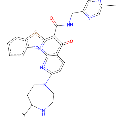 Cc1cnc(CNC(=O)c2c(=O)c3ccc(N4CCNC(C(C)C)CC4)nc3n3c2sc2ccccc23)cn1